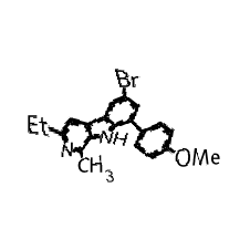 CCc1cc2c([nH]c3c(-c4ccc(OC)cc4)cc(Br)cc32)c(C)n1